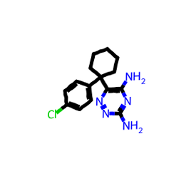 Nc1nnc(C2(c3ccc(Cl)cc3)CCCCC2)c(N)n1